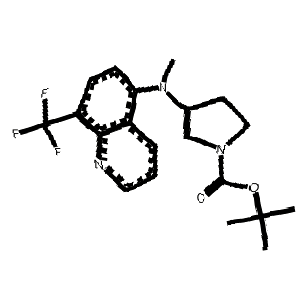 CN(c1ccc(C(F)(F)F)c2ncccc12)C1CCN(C(=O)OC(C)(C)C)C1